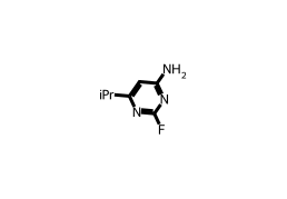 CC(C)c1cc(N)nc(F)n1